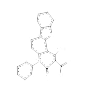 O=C(c1c(O)c2c3sc4ccccc4c3ccc2n(-c2ccccc2)c1=O)C(F)(F)F